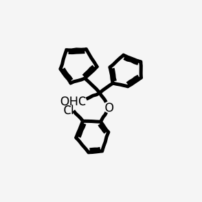 O=CC(Oc1ccccc1Cl)(c1ccccc1)c1ccccc1